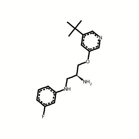 CC(C)(C)c1cncc(OC[C@@H](N)CNc2cccc(F)c2)c1